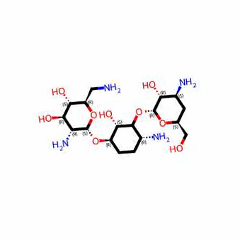 NC[C@H]1O[C@H](O[C@@H]2CC[C@@H](N)C(O[C@H]3O[C@H](CO)C[C@H](N)[C@H]3O)[C@H]2O)[C@H](N)[C@@H](O)[C@@H]1O